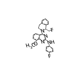 COc1cccc2c(N3CCc4ccccc4C3CF)nc(Nc3ccc(F)cc3)nc12